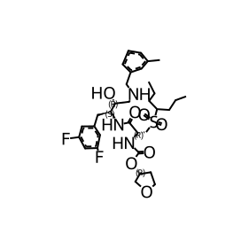 CCCC(CCC)S(=O)(=O)C[C@H](NC(=O)O[C@@H]1CCOC1)C(=O)N[C@@H](Cc1cc(F)cc(F)c1)[C@H](O)CNCc1cccc(C)c1